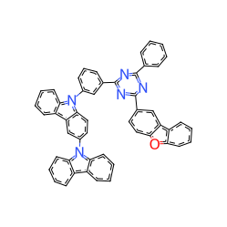 c1ccc(-c2nc(-c3cccc(-n4c5ccccc5c5cc(-n6c7ccccc7c7ccccc76)ccc54)c3)nc(-c3ccc4oc5ccccc5c4c3)n2)cc1